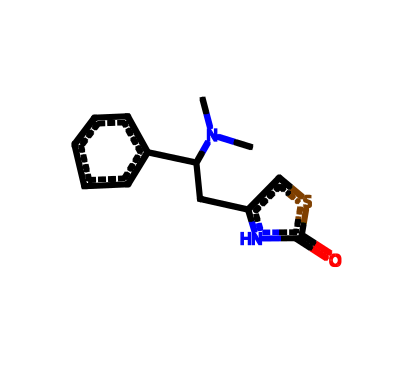 CN(C)C(Cc1csc(=O)[nH]1)c1ccccc1